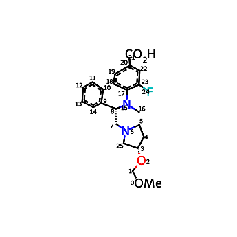 COCO[C@H]1CCN(C[C@H](c2ccccc2)N(C)c2ccc(C(=O)O)cc2F)C1